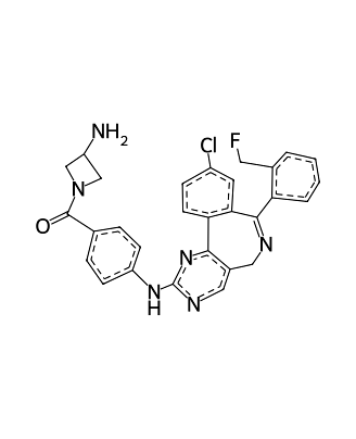 NC1CN(C(=O)c2ccc(Nc3ncc4c(n3)-c3ccc(Cl)cc3C(c3ccccc3CF)=NC4)cc2)C1